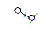 FC(F)(c1cc(Cl)nc(Cl)c1)C1CCCCC1